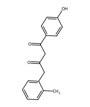 Cc1ccccc1CC(=O)CC(=O)c1ccc(O)cc1